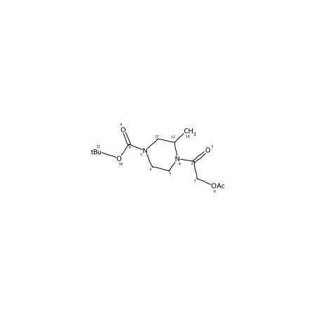 CC(=O)OCC(=O)N1CCN(C(=O)OC(C)(C)C)CC1C